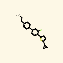 CCCc1ccc(-c2ccc(-c3ccc(C4CC4)s3)c(F)c2)cc1